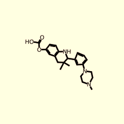 CN1CCN(c2cccc(C3Nc4ccc(OC(=O)O)cc4CC3(C)C)c2)CC1